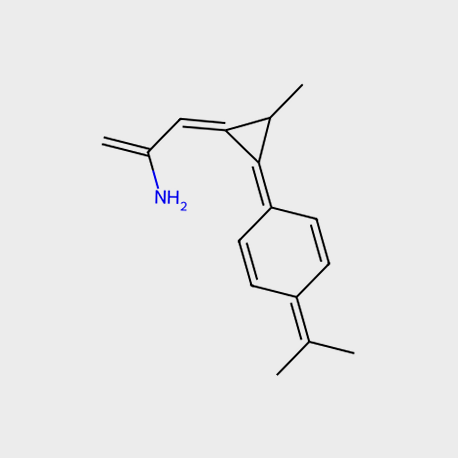 C=C(N)/C=C1\C(=c2ccc(=C(C)C)cc2)C1C